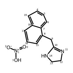 O=[N+]([O-])O.c1ccc2c(CC3=NCCN3)cccc2c1